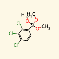 CO[Si](OC)(OC)c1ccc(Cl)c(Cl)c1Cl